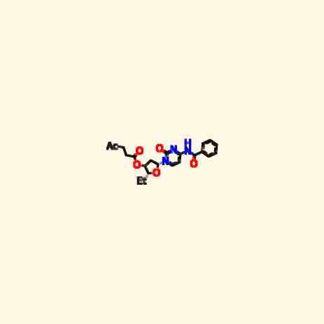 CC[C@H]1O[C@@H](n2ccc(NC(=O)c3ccccc3)nc2=O)CC1OC(=O)CCC(C)=O